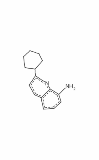 Nc1cccc2ccc(C3CCCCC3)nc12